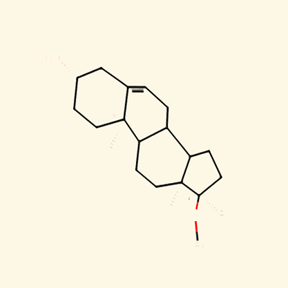 CCO[C@]1(C(C)=O)CCC2C3CC=C4C[C@@H](O)CC[C@]4(C)C3CC[C@@]21C